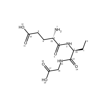 CC[C@H](NC(=O)[C@@H](N)CCC(=O)O)C(=O)NCC(=O)O